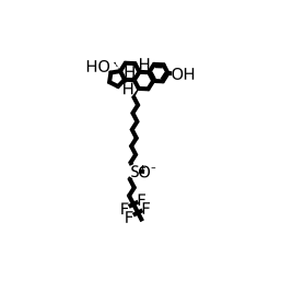 CC(F)(F)C(F)(F)CCC[S+]([O-])CCCCCCCCC[C@@H]1Cc2cc(O)ccc2[C@H]2CC[C@]3(C)[C@@H](O)CC[C@H]3[C@H]12